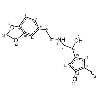 OC(CNCCc1ccc2c(c1)OCO2)c1cc(Cl)c(Cl)s1